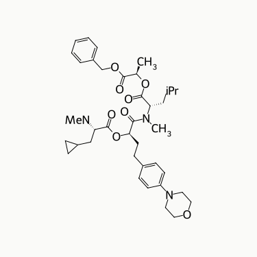 CN[C@@H](CC1CC1)C(=O)O[C@H](CCc1ccc(N2CCOCC2)cc1)C(=O)N(C)[C@@H](CC(C)C)C(=O)O[C@H](C)C(=O)OCc1ccccc1